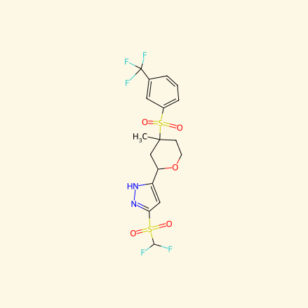 CC1(S(=O)(=O)c2cccc(C(F)(F)F)c2)CCOC(c2cc(S(=O)(=O)C(F)F)n[nH]2)C1